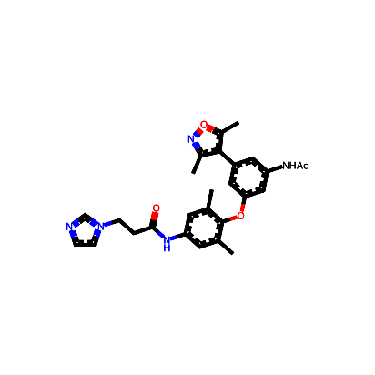 CC(=O)Nc1cc(Oc2c(C)cc(NC(=O)CCn3ccnc3)cc2C)cc(-c2c(C)noc2C)c1